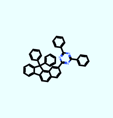 c1ccc(-c2nc(-c3ccccc3)nc(-c3ccc4ccc5c(c4c3)C(c3ccccc3)(c3ccccc3)c3ccccc3-5)n2)cc1